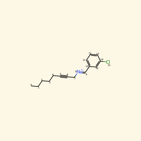 CCCCCC#CC/N=C/c1cccc(Cl)c1